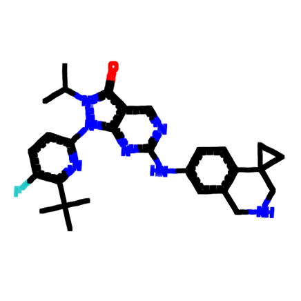 CC(C)n1c(=O)c2cnc(Nc3ccc4c(c3)CNCC43CC3)nc2n1-c1ccc(F)c(C(C)(C)C)n1